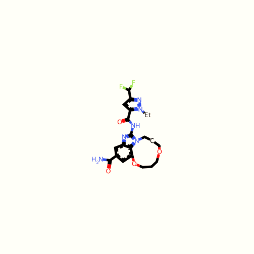 CCn1nc(C(F)F)cc1C(=O)Nc1nc2cc(C(N)=O)cc3c2n1CCCOCCCO3